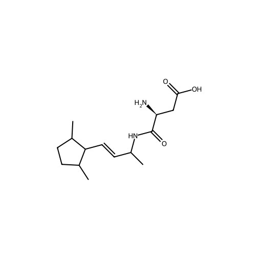 CC(C=CC1C(C)CCC1C)NC(=O)[C@@H](N)CC(=O)O